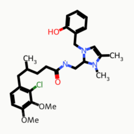 COc1ccc(CC(C)CCC(=O)[N]CC2N(Cc3ccccc3O)C=C(C)N2C)c(Cl)c1OC